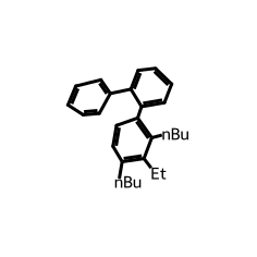 CCCCc1ccc(-c2ccccc2-c2ccccc2)c(CCCC)c1CC